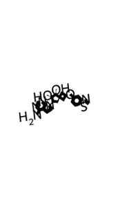 Nc1ncnc2c1ccn2[C@@H]1C[C@]2(C[C@H](Oc3ccc4scnc4c3)C2)[C@@H](O)[C@H]1O